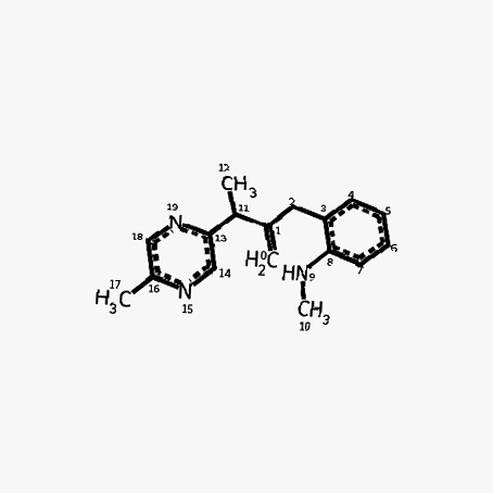 C=C(Cc1ccccc1NC)C(C)c1cnc(C)cn1